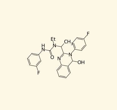 CCN(C(=O)Nc1cccc(F)c1)C(C)C1=Nc2ccccc2C(O)N1c1ccc(F)cc1